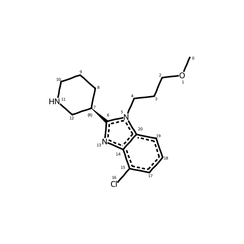 COCCCn1c([C@@H]2CCCNC2)nc2c(Cl)cccc21